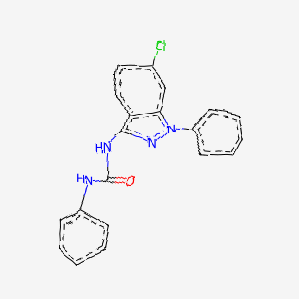 O=C(Nc1ccccc1)Nc1nn(-c2ccccc2)c2cc(Cl)ccc12